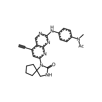 C#Cc1cc(N2C(=O)NCC23CCCC3)nc2nc(Nc3ccc(N(C)C(C)=O)cc3)ncc12